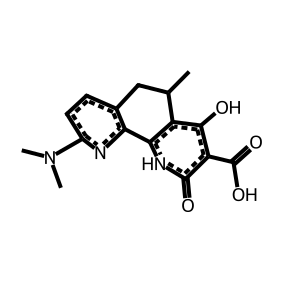 CC1Cc2ccc(N(C)C)nc2-c2[nH]c(=O)c(C(=O)O)c(O)c21